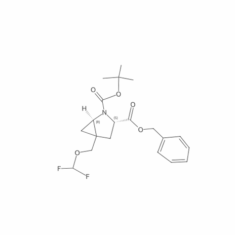 CC(C)(C)OC(=O)N1[C@H](C(=O)OCc2ccccc2)CC2(COC(F)F)C[C@@H]12